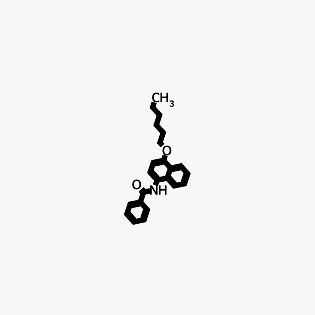 CCCCCCOc1ccc(NC(=O)c2ccccc2)c2ccccc12